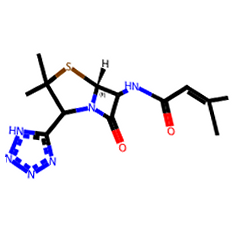 CC(C)=CC(=O)NC1C(=O)N2C(c3nnn[nH]3)C(C)(C)S[C@H]12